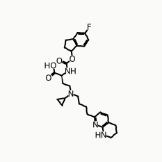 O=C(N[C@@H](CCN(CCCCc1ccc2c(n1)NCCC2)C1CC1)C(=O)O)OC1CCc2cc(F)ccc21